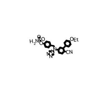 CCOc1ccc(-c2cc(N(Cc3ccc(OS(N)(=O)=O)cc3)n3cnnc3)ccc2C#N)cc1